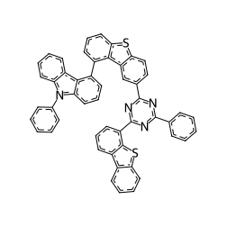 c1ccc(-c2nc(-c3ccc4sc5cccc(-c6cccc7c6c6ccccc6n7-c6ccccc6)c5c4c3)nc(-c3cccc4c3sc3ccccc34)n2)cc1